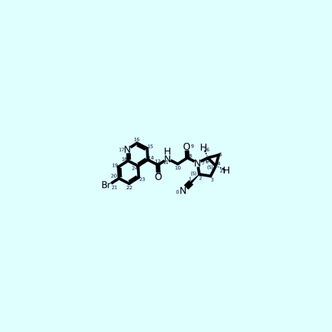 N#C[C@@H]1C[C@@H]2C[C@@H]2N1C(=O)CNC(=O)c1ccnc2cc(Br)ccc12